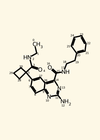 CCNC(=O)C1(c2ccc3nc(N)nc(C(=O)NCCc4ccccc4)c3c2)CCC1